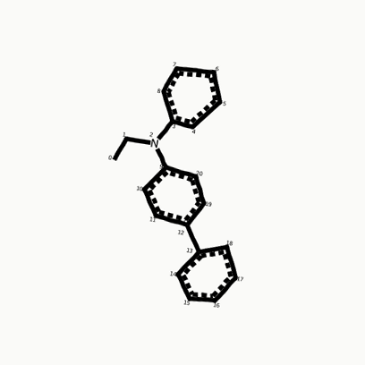 CCN(c1ccccc1)c1ccc(-c2ccccc2)cc1